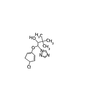 CC(C)(C)C(O)C(OC1=CCC(Cl)C=C1)n1cncn1